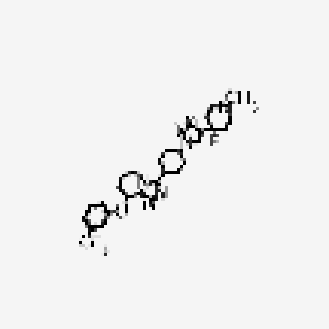 CN1CCC(F)(c2cn(C3CCC(c4nnc5n4CCCC5Oc4cccc(C(F)(F)F)c4)CC3)nn2)CC1